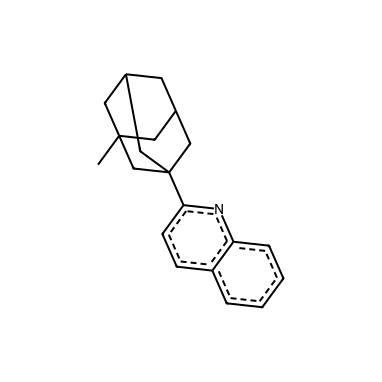 CC12CC3CC(C1)CC(c1ccc4ccccc4n1)(C3)C2